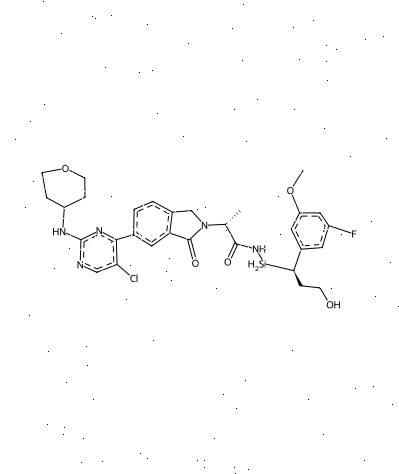 COc1cc(F)cc([C@@H](CCO)[SiH2]NC(=O)[C@@H](C)N2Cc3ccc(-c4nc(NC5CCOCC5)ncc4Cl)cc3C2=O)c1